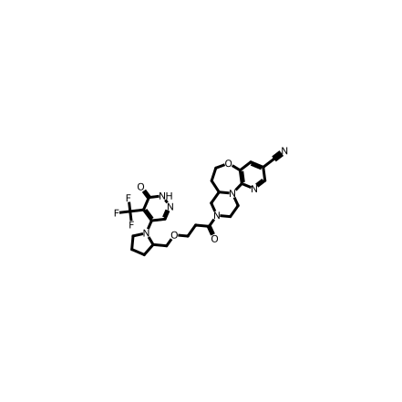 N#Cc1cnc2c(c1)OCCC1CN(C(=O)CCOCC3CCCN3c3cn[nH]c(=O)c3C(F)(F)F)CCN21